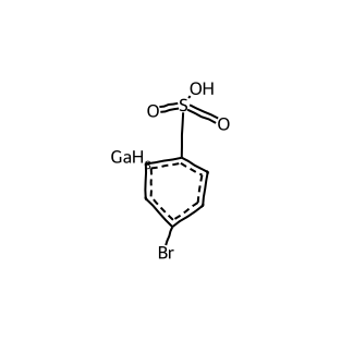 O=S(=O)(O)c1ccc(Br)cc1.[GaH3]